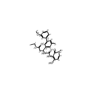 CCOC(=O)C[C@H](NC(=O)Nc1c(O)ccn(C)c1=O)c1cc(C)cc(-c2cccc(OC)c2)c1